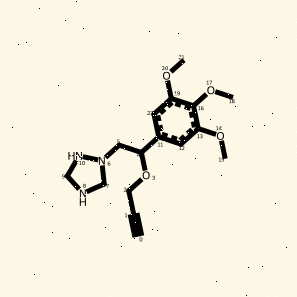 C#CCOC(CN1CNCN1)c1cc(OC)c(OC)c(OC)c1